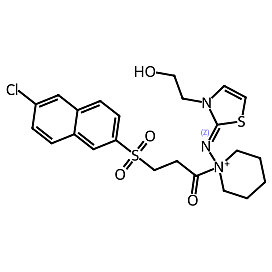 O=C(CCS(=O)(=O)c1ccc2cc(Cl)ccc2c1)[N+]1(/N=c2\sccn2CCO)CCCCC1